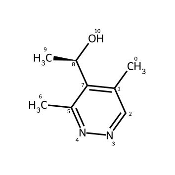 Cc1cnnc(C)c1[C@@H](C)O